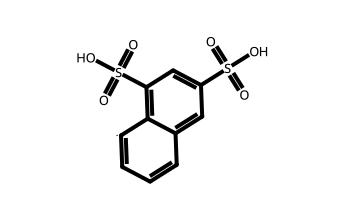 O=S(=O)(O)c1cc(S(=O)(=O)O)c2[c]cccc2c1